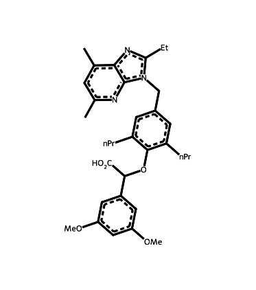 CCCc1cc(Cn2c(CC)nc3c(C)cc(C)nc32)cc(CCC)c1OC(C(=O)O)c1cc(OC)cc(OC)c1